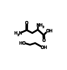 NC(=O)CC(N)C(=O)O.OCCO